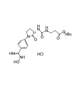 CCCCOC(=O)CCNC(=O)N[C@H]1CCN(c2ccc(C(=N)NO)cc2)C1=O.Cl